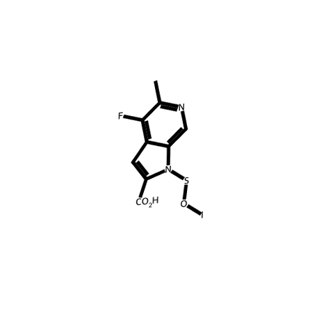 Cc1ncc2c(cc(C(=O)O)n2SOI)c1F